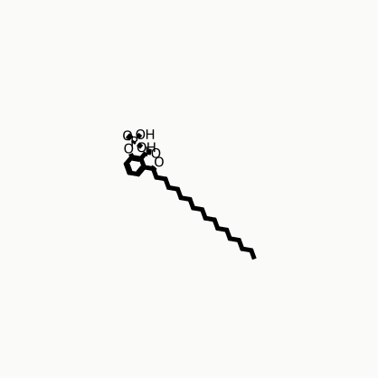 CCCCCCCCCCCCCCCCCC(=O)c1cccc(OP(=O)(O)O)c1I=O